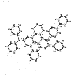 C1=Cc2c(c3cc(N(c4ccccc4)c4ccccc4)ccc3c3c(-c4ccccc4)cc(-c4ccccc4)c(-c4ccc(-c5ccccc5)cc4)c23)CC1